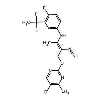 C/C(Nc1ccc(F)c(C(C)(F)F)c1)=C(\COc1ncc(Cl)c(C)n1)N=N